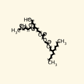 CCCCCC(CCCCC)CCOC(=O)COCC(=O)OCCCC(CCCO)OC(=O)CCCN(C)C